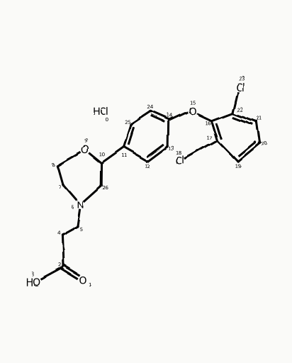 Cl.O=C(O)CCN1CCOC(c2ccc(Oc3c(Cl)cccc3Cl)cc2)C1